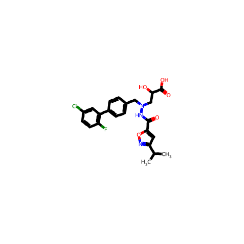 CC(C)c1cc(C(=O)NN(Cc2ccc(-c3cc(Cl)ccc3F)cc2)CC(O)C(=O)O)on1